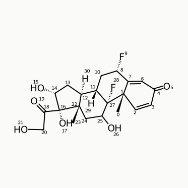 C[C@]12C=CC(=O)C=C1[C@@H](F)C[C@H]1[C@@H]3C[C@@H](O)[C@](O)(C(=O)CO)[C@@]3(C)CC(O)[C@@]12F